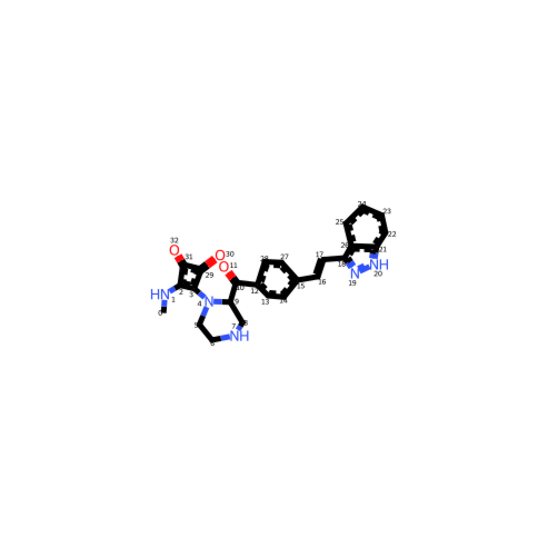 CNc1c(N2CCNCC2C(=O)c2ccc(C=Cc3n[nH]c4ccccc34)cc2)c(=O)c1=O